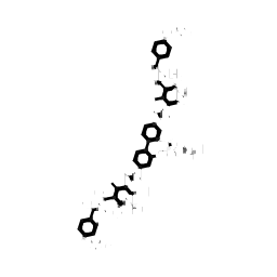 CCn1c(O)c(N=Nc2ccc(-c3ccc(N=Nc4c(C)c(C(=O)NC(=O)c5ccc(OC)cc5)c(=O)n(CC)c4O)cc3S(=O)(=O)O)c(SOOO)c2)c(C)c(C(=O)NC(=O)c2ccc(OC)cc2)c1=O